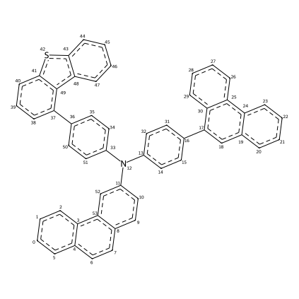 c1ccc2c(c1)ccc1ccc(N(c3ccc(-c4cc5ccccc5c5ccccc45)cc3)c3ccc(-c4cccc5sc6ccccc6c45)cc3)cc12